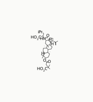 C=C(C)[C@@H]1CC[C@]2(C(=O)NC(CC(C)C)C(=O)O)CC[C@]3(C)[C@H](CCC4[C@@]5(C)CCC(OC(=O)CC(C)(C)C(=O)O)C(C)(C)[C@@H]5CC[C@]43C)[C@@H]12